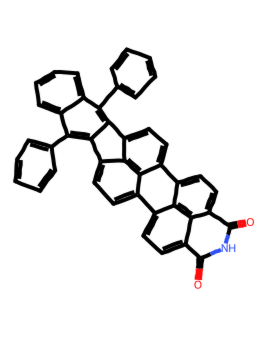 O=C1NC(=O)c2ccc3c4ccc5c6c(ccc(c7ccc1c2c73)c64)-c1c-5c(-c2ccccc2)c2ccccc2c1-c1ccccc1